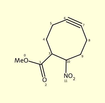 COC(=O)C1CCC#CCCC1[N+](=O)[O-]